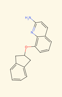 Nc1ccc2cccc(OC3Cc4ccccc4C3)c2n1